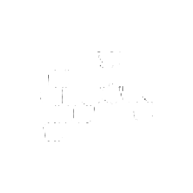 c1ccc(-c2ccc(-c3nc(-c4ccccn4)nc(-c4ccccn4)n3)cc2-c2cccc3ccccc23)cc1